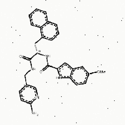 COc1ccc2[nH]c(C(=O)N[C@@H](Cc3cccc4ccccc34)C(=O)NCc3ccc(N)nc3)cc2c1